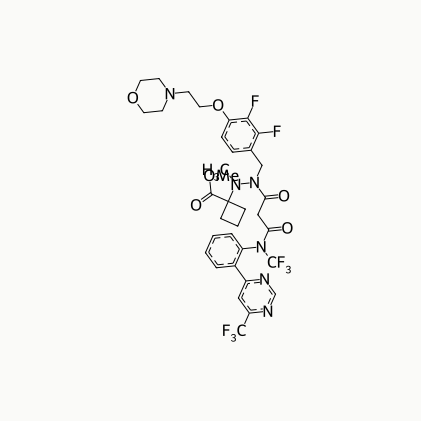 COC(=O)C1(N(C)N(Cc2ccc(OCCN3CCOCC3)c(F)c2F)C(=O)CC(=O)N(c2ccccc2-c2cc(C(F)(F)F)ncn2)C(F)(F)F)CCC1